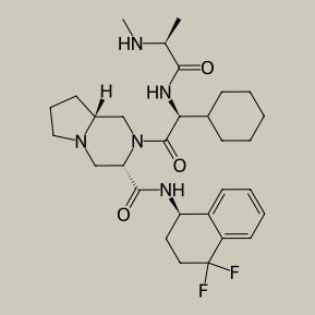 CN[C@@H](C)C(=O)N[C@H](C(=O)N1C[C@H]2CCCN2C[C@H]1C(=O)N[C@@H]1CCC(F)(F)c2ccccc21)C1CCCCC1